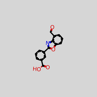 O=Cc1cccc2oc(-c3cccc(C(=O)O)c3)nc12